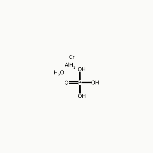 O.O=P(O)(O)O.[AlH3].[Cr]